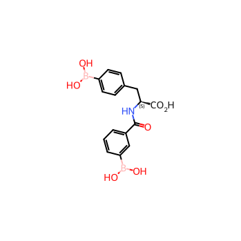 O=C(N[C@@H](Cc1ccc(B(O)O)cc1)C(=O)O)c1cccc(B(O)O)c1